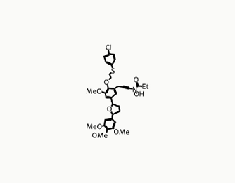 CCC(=O)N(O)C#CCc1cc(C2CCC(c3cc(OC)c(OC)c(OC)c3)O2)cc(OC)c1OCCSc1ccc(Cl)cc1